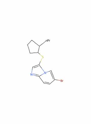 CCCC1CCCC1Sc1cnc2ccc(Br)cn12